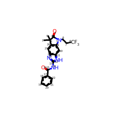 CC1(C)C(=O)N(CCC(F)(F)F)c2cc3[nH]c(NC(=O)c4ccccc4)nc3cc21